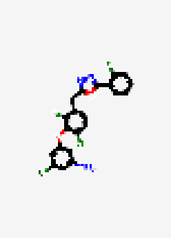 Nc1cc(Cl)cc(Oc2c(Cl)ccc(Cc3nnc(-c4ccccc4F)o3)c2F)c1